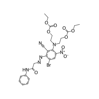 CCOC(=O)OCCN(CCOC(=O)OCC)c1c([N+](=O)[O-])cc(Br)c(N=NCC(=O)Nc2ccccc2)c1C#N